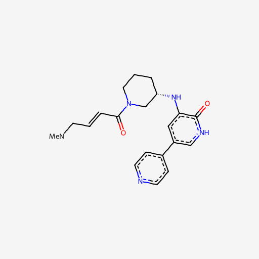 CNC/C=C/C(=O)N1CCC[C@H](Nc2cc(-c3ccncc3)c[nH]c2=O)C1